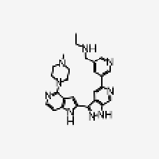 CCNCc1cncc(-c2cc3c(-c4cc5c(N6CCN(C)CC6)nccc5[nH]4)n[nH]c3cn2)c1